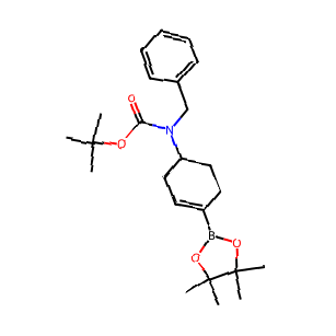 CC(C)(C)OC(=O)N(Cc1ccccc1)C1CC=C(B2OC(C)(C)C(C)(C)O2)CC1